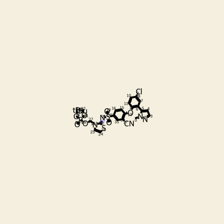 Cn1nccc1-c1cc(Cl)ccc1Oc1ccc(S(=O)(=O)/N=c2\sccn2COP(=O)(OC(C)(C)C)OC(C)(C)C)cc1C#N